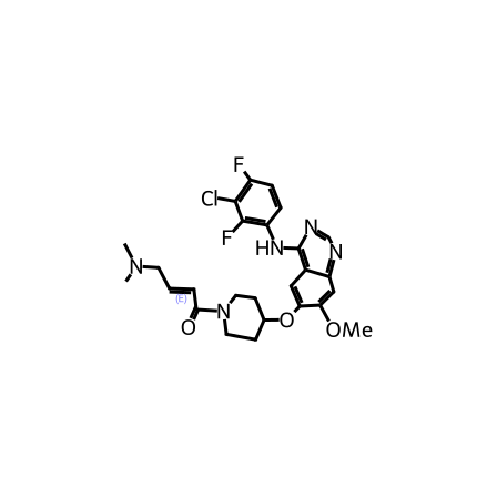 COc1cc2ncnc(Nc3ccc(F)c(Cl)c3F)c2cc1OC1CCN(C(=O)/C=C/CN(C)C)CC1